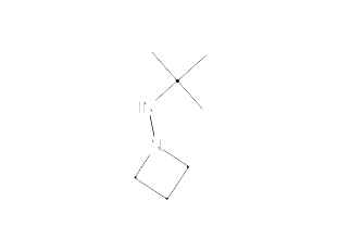 CC(C)(C)NN1CCC1